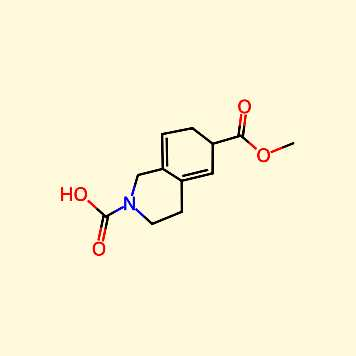 COC(=O)C1C=C2CCN(C(=O)O)CC2=CC1